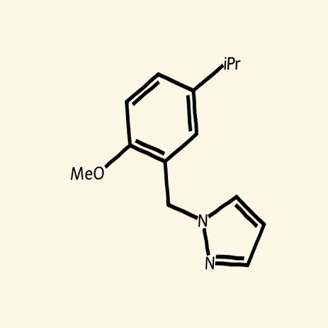 COc1ccc(C(C)C)cc1Cn1cccn1